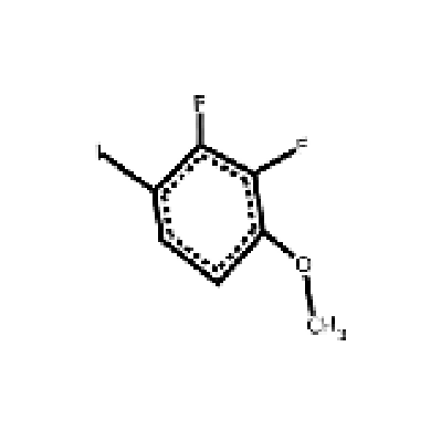 COc1ccc(I)c(F)c1F